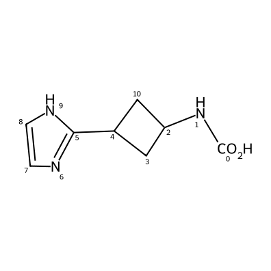 O=C(O)NC1CC(c2ncc[nH]2)C1